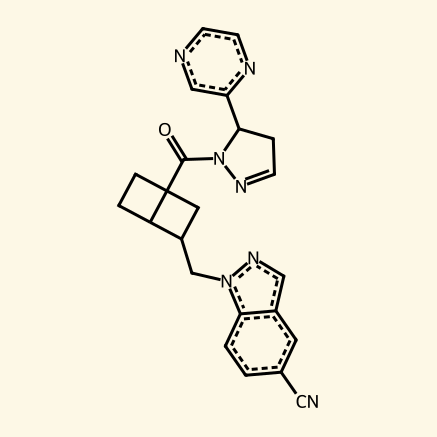 N#Cc1ccc2c(cnn2CC2CC3(C(=O)N4N=CCC4c4cnccn4)CCC23)c1